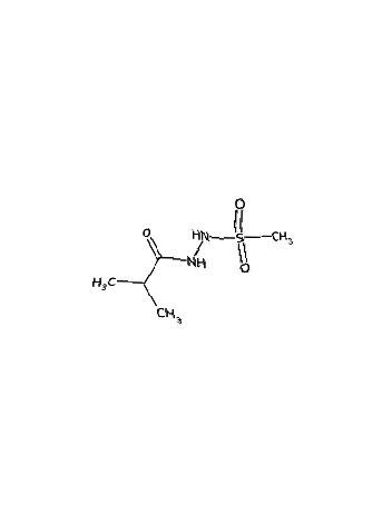 CC(C)C(=O)NNS(C)(=O)=O